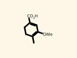 COC1=C(C)CCC(C(=O)O)=C1